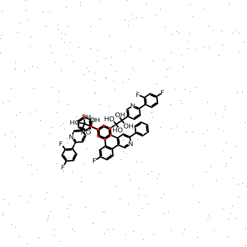 BC(O)(c1ccc(-c2ccc(F)cc2F)nc1)C(O)(O)c1cc(-c2cc(F)ccc2-c2cnc(-c3ccccc3)cc2-c2ccc(-c3ccccc3)cc2)cc(C(O)(O)C(O)(O)c2ccc(-c3ccc(F)cc3F)nc2)c1